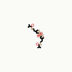 C=C(C)C(=O)SCCc1csc(S(=O)(=O)c2cc(CCSC(=O)C(=C)C)cs2)c1